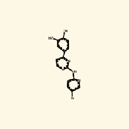 Oc1ccc(-c2ccnc(Nc3ccc(Br)cn3)n2)cc1O